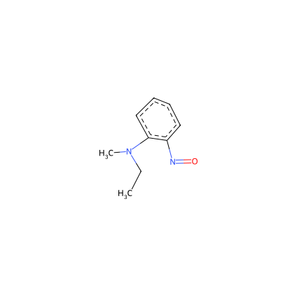 CCN(C)c1ccccc1N=O